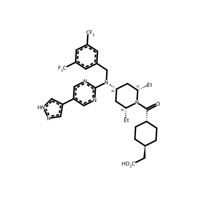 CC[C@@H]1C[C@H](N(Cc2cc(C(F)(F)F)cc(C(F)(F)F)c2)c2ncc(-c3cn[nH]c3)cn2)C[C@H](CC)N1C(=O)[C@H]1CC[C@H](CC(=O)O)CC1